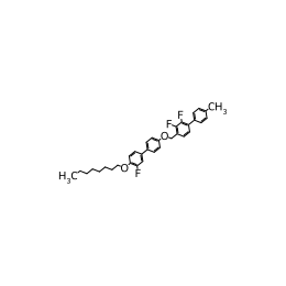 CCCCCCCCOc1ccc(-c2ccc(OCc3ccc(-c4ccc(C)cc4)c(F)c3F)cc2)cc1F